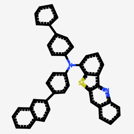 c1ccc(-c2ccc(N(c3ccc(-c4ccc5ccccc5c4)cc3)c3cccc4c3sc3cc5ccccc5nc34)cc2)cc1